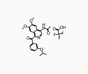 COc1cc2c(NC(C)=O)cnc(C(=O)c3cccc(OC(C)C)c3)c2cc1OC.O=C(O)C(F)(F)F